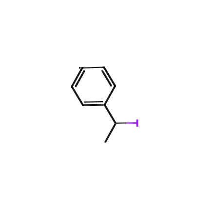 CC(I)c1cc[c]cc1